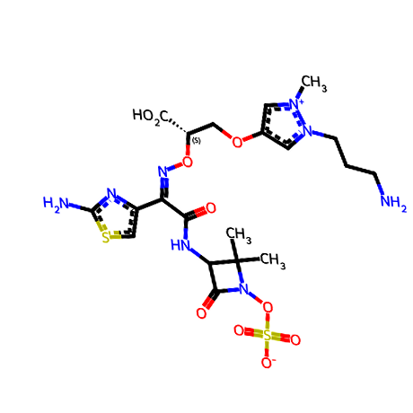 C[n+]1cc(OC[C@H](ON=C(C(=O)NC2C(=O)N(OS(=O)(=O)[O-])C2(C)C)c2csc(N)n2)C(=O)O)cn1CCCN